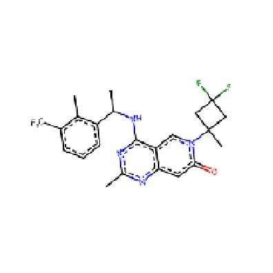 Cc1nc(N[C@H](C)c2cccc(C(F)(F)F)c2C)c2cn(C3(C)CC(F)(F)C3)c(=O)cc2n1